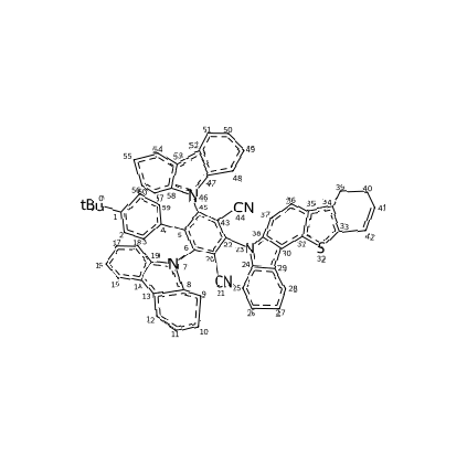 CC(C)(C)c1ccc(-c2c(-n3c4ccccc4c4ccccc43)c(C#N)c(-n3c4ccccc4c4c5sc6c(c5ccc43)CCC=C6)c(C#N)c2-n2c3ccccc3c3ccccc32)cc1